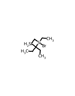 CCC1(CC)[SiH2]C[Si]1(Br)CC